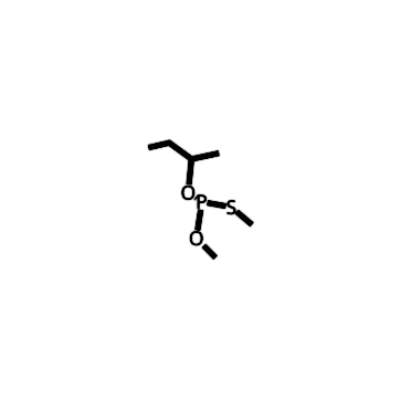 CCC(C)OP(OC)SC